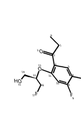 CCC(=O)c1cc(Br)c(F)cc1O[C@H](CO)CF